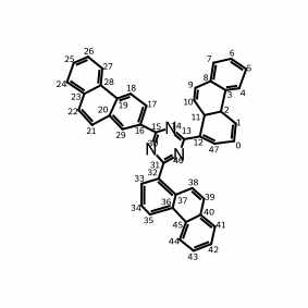 C1=CC2c3ccccc3C=CC2C(c2nc(-c3ccc4c(ccc5ccccc54)c3)nc(-c3cccc4c3ccc3ccccc34)n2)=C1